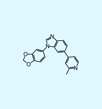 Cc1cc(-c2ccc3ncn(-c4ccc5c(c4)OCO5)c3c2)ccn1